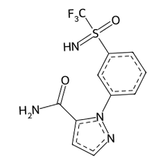 N=S(=O)(c1cccc(-n2nccc2C(N)=O)c1)C(F)(F)F